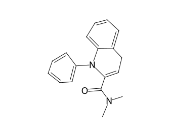 CN(C)C(=O)C1=CCc2ccccc2N1c1ccccc1